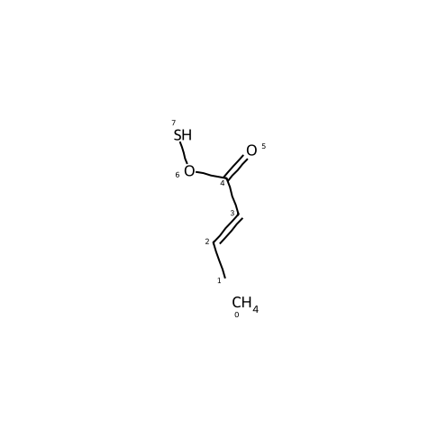 C.CC=CC(=O)OS